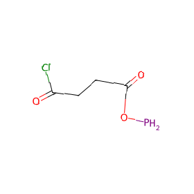 O=C(Cl)CCC(=O)OP